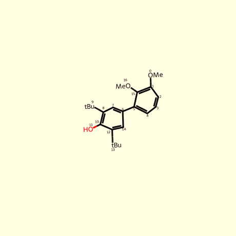 COc1cccc(-c2cc(C(C)(C)C)c(O)c(C(C)(C)C)c2)c1OC